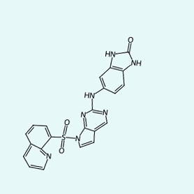 O=c1[nH]c2ccc(Nc3ncc4ccn(S(=O)(=O)c5cccc6cccnc56)c4n3)cc2[nH]1